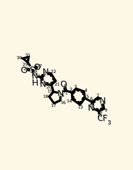 O=C(c1ccc(-c2cncc(C(F)(F)F)n2)cc1)N1CCCC1c1ccnc(NS(=O)(=O)C2CC2)n1